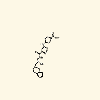 CCCC(=O)N1CCC(Nc2cc(C(=O)NC[C@H](O)CN3CCc4ccccc4C3)ncn2)CC1